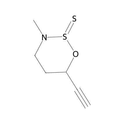 C#CC1CCN(C)S(=S)O1